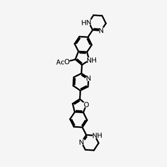 CC(=O)Oc1c(-c2ccc(-c3cc4ccc(C5=NCCCN5)cc4o3)cn2)[nH]c2cc(C3=NCCCN3)ccc12